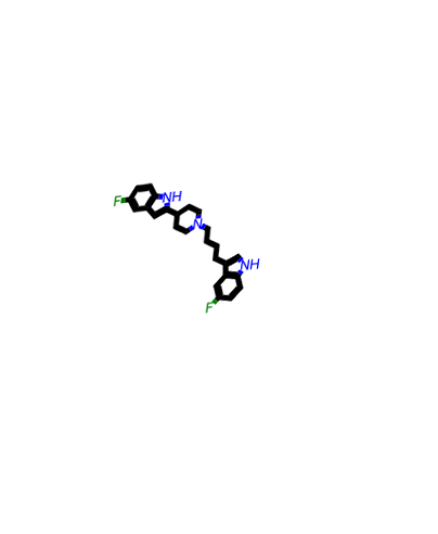 Fc1ccc2[nH]c(C3CCN(CCCCc4c[nH]c5ccc(F)cc45)CC3)cc2c1